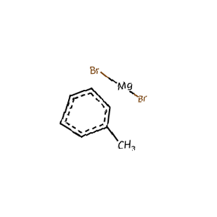 Cc1ccccc1.[Br][Mg][Br]